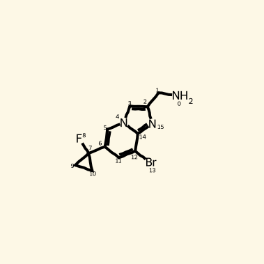 NCc1cn2cc(C3(F)CC3)cc(Br)c2n1